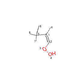 C/C(=C/OO)C(C)(C)C